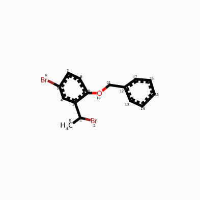 CC(Br)c1cc(Br)ccc1OCc1ccccc1